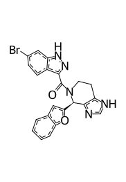 O=C(c1n[nH]c2cc(Br)ccc12)N1CCc2[nH]cnc2[C@H]1c1cc2ccccc2o1